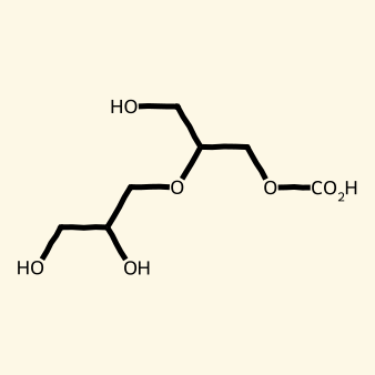 O=C(O)OCC(CO)OCC(O)CO